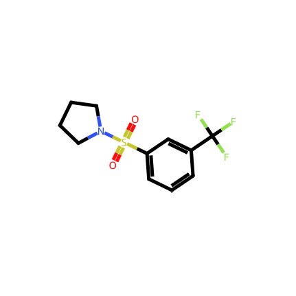 O=S(=O)(c1c[c]cc(C(F)(F)F)c1)N1CCCC1